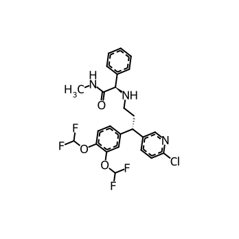 CNC(=O)[C@H](NCC[C@H](c1ccc(Cl)nc1)c1ccc(OC(F)F)c(OC(F)F)c1)c1ccccc1